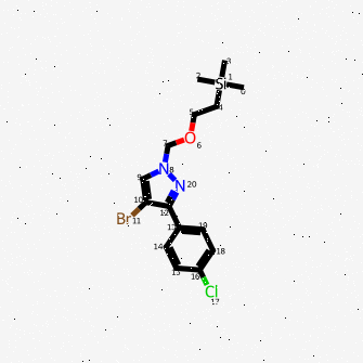 C[Si](C)(C)CCOCn1cc(Br)c(-c2ccc(Cl)cc2)n1